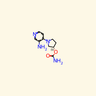 NC(=O)O[C@H]1CCN(c2ccncc2N)C1